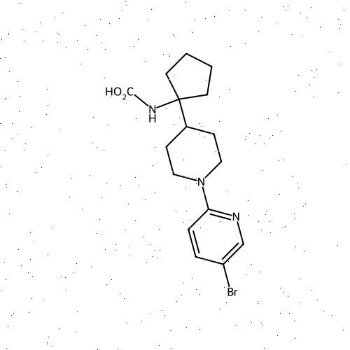 O=C(O)NC1(C2CCN(c3ccc(Br)cn3)CC2)CCCC1